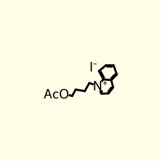 CC(=O)OCCCC[n+]1cccc2ccccc21.[I-]